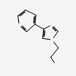 OCCn1cnc(-c2cccnc2)c1